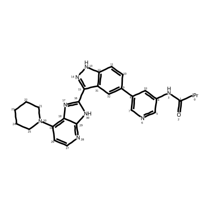 CC(C)C(=O)Nc1cncc(-c2ccc3[nH]nc(-c4nc5c(N6CCCCC6)ccnc5[nH]4)c3c2)c1